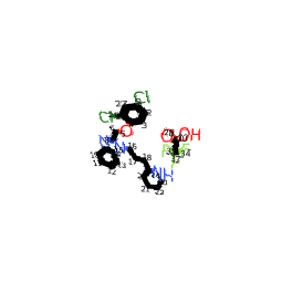 Clc1ccc(OCc2nc3ccccc3n2CCCC2CCCCN2)c(Cl)c1.O=C(O)C(F)(F)F